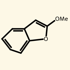 [CH2]Oc1cc2ccccc2o1